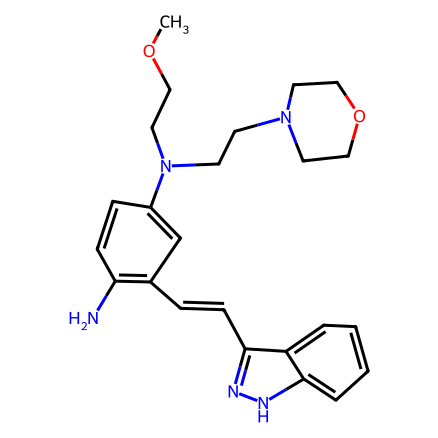 COCCN(CCN1CCOCC1)c1ccc(N)c(/C=C/c2n[nH]c3ccccc23)c1